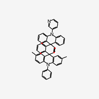 Cc1ccc2c(c1)C1(c3cc(C)ccc3N2c2ccccc2)c2ccccc2C2(c3ccccc3N(c3cccnc3)c3ccccc32)c2ccccc21